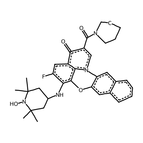 CC1(C)CC(Nc2c(F)cc3c(=O)c(C(=O)N4CCCCC4)cn4c3c2Oc2cc3ccccc3cc2-4)CC(C)(C)N1O